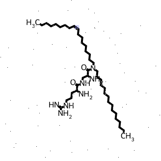 CCCCCCCC/C=C\CCCCCCCCN(CCCCCCCCCCCCCCCC)C(=O)C(N)CNC(=O)C(N)CCCNC(=N)N